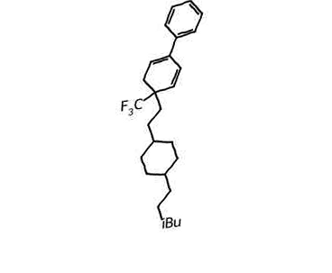 CCC(C)CCC1CCC(CCC2(C(F)(F)F)C=CC(c3ccccc3)=CC2)CC1